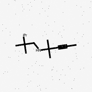 CC#CC(C)(C)NCC(C)(C)C(C)C